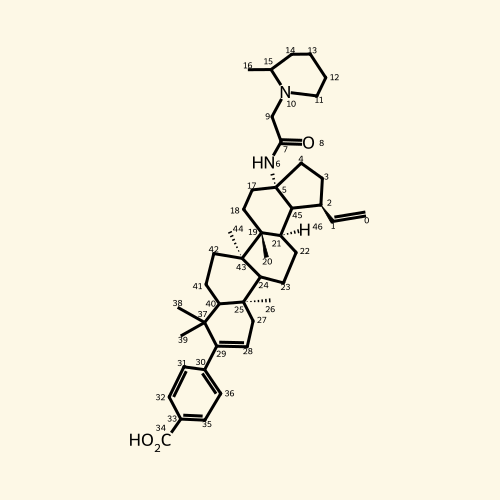 C=C[C@@H]1CC[C@]2(NC(=O)CN3CCCCC3C)CC[C@]3(C)[C@H](CCC4[C@@]5(C)CC=C(c6ccc(C(=O)O)cc6)C(C)(C)C5CC[C@]43C)C12